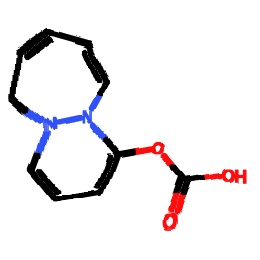 O=C(O)OC1=CC=CN2CC=CC=CN12